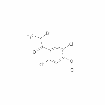 COc1cc(Cl)c(C(=O)C(C)Br)cc1Cl